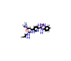 CCCNC(=O)NC(CCN(C)C)c1ccc(C(=O)Nc2ccccc2N)nc1